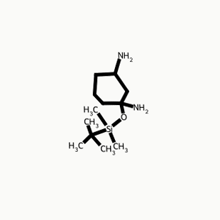 CC(C)(C)[Si](C)(C)OC1(N)CCCC(N)C1